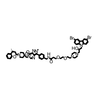 C[C@H](CC(=O)N1CCC(O)(Cn2cnc3c(-c4ccc(CNC(=O)CCOCCOCCN5CCN(C[C@@H](O)Cn6c7ccc(Br)cc7c7cc(Br)ccc76)CC5)cc4)n(C)nc3c2=O)CC1)c1ccccc1